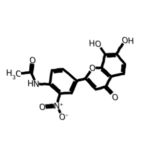 CC(=O)Nc1ccc(-c2cc(=O)c3ccc(O)c(O)c3o2)cc1[N+](=O)[O-]